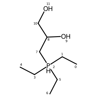 CC[PH](CC)(CC)CC(O)CO